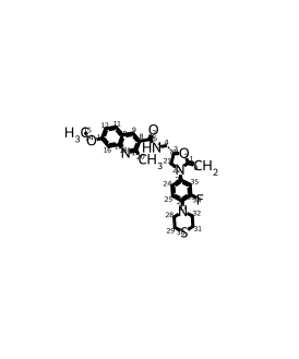 C=C1O[C@@H](CNC(=O)c2cc3ccc(OC)cc3nc2C)CN1c1ccc(N2CCSCC2)c(F)c1